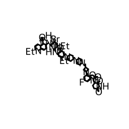 CCOc1cc(N2CCC(N3CCN(CC4CN(c5cc(F)cc6c5oc(=O)n6C5CCC(=O)NC5=O)C4)CC3)CC2)c(CC)cc1Nc1ncc(Br)c(Nc2ccc3nc(CC)ccc3c2P(C)(C)=O)n1